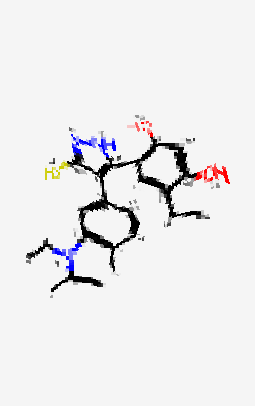 C=C(C)N(CC)c1cc(-c2c(S)n[nH]c2-c2cc(CC)c(O)cc2O)ccc1C